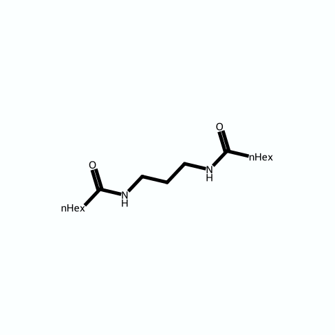 CCCCCCC(=O)NCCCNC(=O)CCCCCC